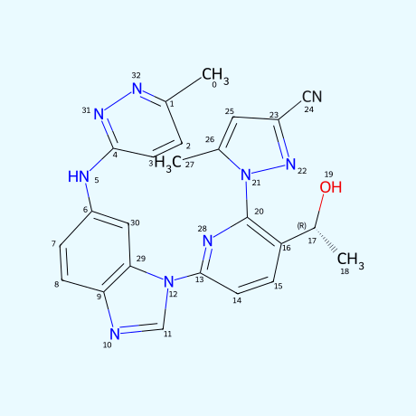 Cc1ccc(Nc2ccc3ncn(-c4ccc([C@@H](C)O)c(-n5nc(C#N)cc5C)n4)c3c2)nn1